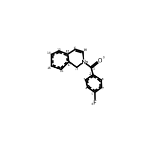 O=C(c1ccc(F)cc1)N1C=Cc2ccccc2C1